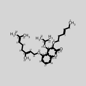 CC/C=C/CCOc1c(OC(C)C)c2c(OC/C=C(\C)CCC=C(C)C)cccc2oc1=O